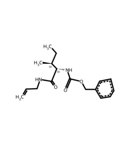 C=CCNC(=O)[C@@H](NC(=O)OCc1ccccc1)[C@@H](C)CC